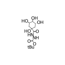 CC(C)(C)OC(=O)NNC(=O)[C@]1(O)C[C@@H](O)[C@@H](O)[C@H](O)C1